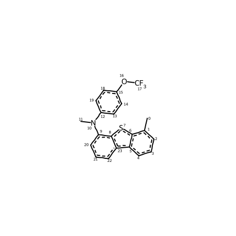 Cc1cccc2c1sc1c(N(C)c3ccc(OC(F)(F)F)cc3)cccc12